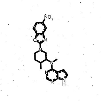 CC1CCN(c2nc3cc([N+](=O)[O-])ccc3o2)CC1N(C)c1ncnc2[nH]ccc12